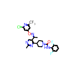 CC(=NOc1cc(Cl)nc(C(F)(F)F)c1)c1cnc(C)nc1C1CCN(C(=O)Nc2c(F)cccc2F)CC1